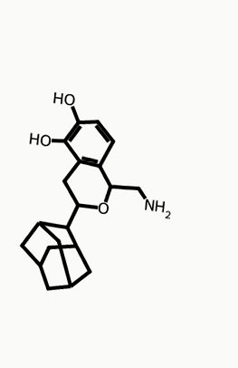 NCC1OC(C2C3CC4CC(C3)CC2C4)Cc2c1ccc(O)c2O